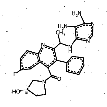 CC(Nc1ncnc(N)c1N)c1nc2ccc(F)cc2c(C(=O)N2CC[C@H](O)C2)c1-c1ccccc1